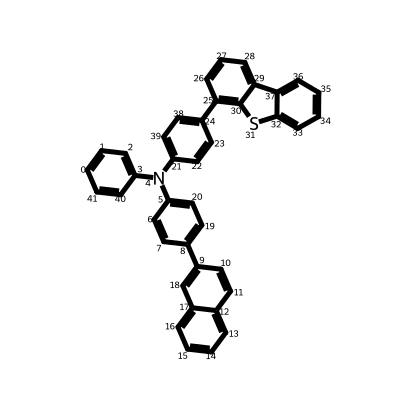 c1ccc(N(c2ccc(-c3ccc4ccccc4c3)cc2)c2ccc(-c3cccc4c3sc3ccccc34)cc2)cc1